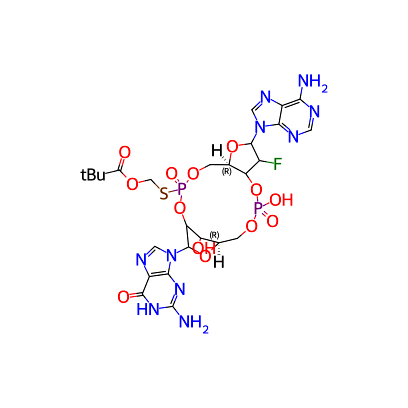 CC(C)(C)C(=O)OCSP1(=O)OC[C@H]2OC(n3cnc4c(N)ncnc43)C(F)C2OP(=O)(O)OC[C@H]2OC(n3cnc4c(=O)[nH]c(N)nc43)C(O1)C2O